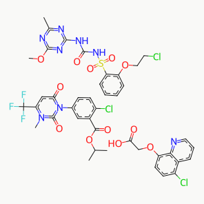 CC(C)OC(=O)c1cc(-n2c(=O)cc(C(F)(F)F)n(C)c2=O)ccc1Cl.COc1nc(C)nc(NC(=O)NS(=O)(=O)c2ccccc2OCCCl)n1.O=C(O)COc1ccc(Cl)c2cccnc12